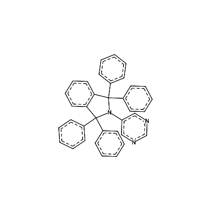 c1ccc(C2(c3ccccc3)c3ccccc3C(c3ccccc3)(c3ccccc3)N2c2cncnc2)cc1